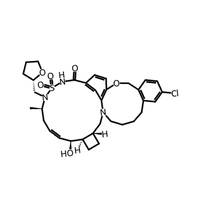 C[C@@H]1C/C=C\[C@H](O)[C@@H]2CC[C@H]2CN2CCCCc3cc(Cl)ccc3COc3ccc(cc32)C(=O)NS(=O)(=O)N1C[C@@H]1CCCO1